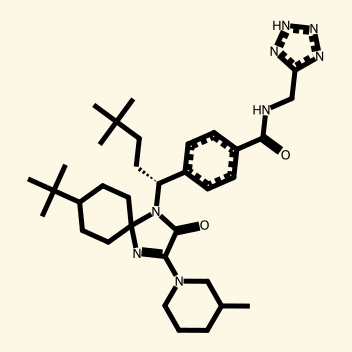 CC1CCCN(C2=NC3(CCC(C(C)(C)C)CC3)N([C@H](CCC(C)(C)C)c3ccc(C(=O)NCc4nn[nH]n4)cc3)C2=O)C1